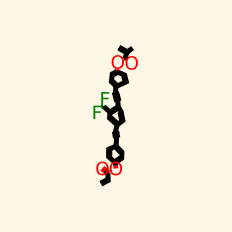 C=CC(=O)Oc1ccc(C#Cc2ccc(C#Cc3ccc(OC(=O)C(=C)C)cc3)c(C(F)F)c2)cc1